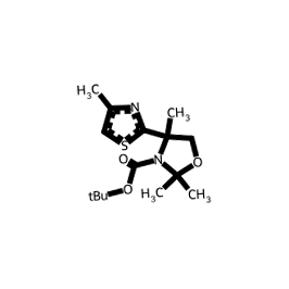 Cc1csc(C2(C)COC(C)(C)N2C(=O)OC(C)(C)C)n1